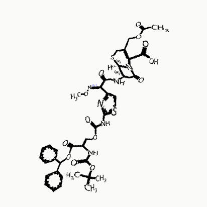 CO/N=C(/C(=O)N[C@@H]1C(=O)N2C(C(=O)O)=C(COC(C)=O)CS[C@H]12)c1csc(NC(=O)OCC(NC(=O)OC(C)(C)C)C(=O)OC(c2ccccc2)c2ccccc2)n1